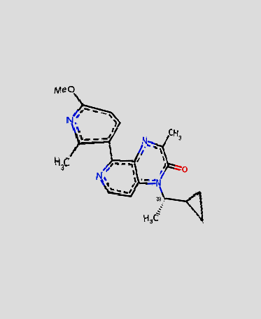 COc1ccc(-c2nccc3c2nc(C)c(=O)n3[C@@H](C)C2CC2)c(C)n1